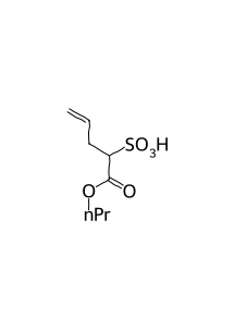 C=CCC(C(=O)OCCC)S(=O)(=O)O